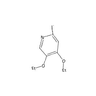 [CH2]c1cc(OCC)c(OCC)cn1